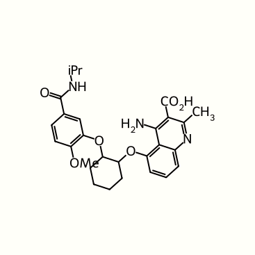 COc1ccc(C(=O)NC(C)C)cc1OC1CCCCC1Oc1cccc2nc(C)c(C(=O)O)c(N)c12